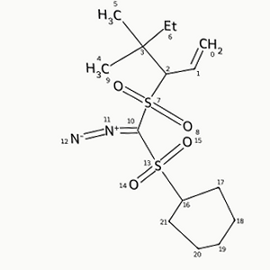 C=CC(C(C)(C)CC)S(=O)(=O)C(=[N+]=[N-])S(=O)(=O)C1CCCCC1